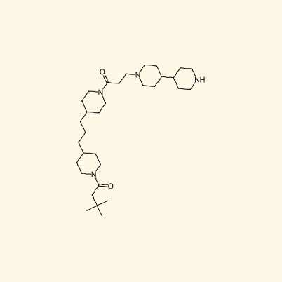 CC(C)(C)CC(=O)N1CCC(CCCC2CCN(C(=O)CCN3CCC(C4CCNCC4)CC3)CC2)CC1